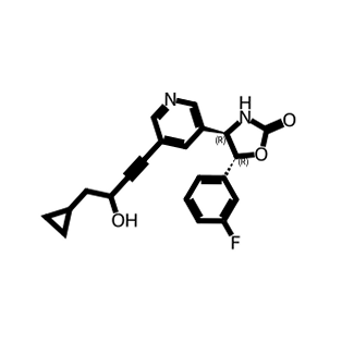 O=C1N[C@H](c2cncc(C#CC(O)CC3CC3)c2)[C@@H](c2cccc(F)c2)O1